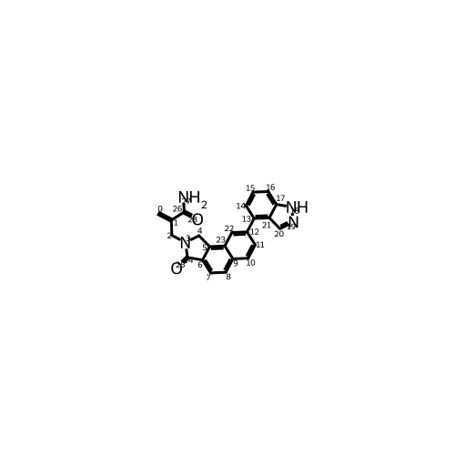 C=C(CN1Cc2c(ccc3ccc(-c4cccc5[nH]ncc45)cc23)C1=O)C(N)=O